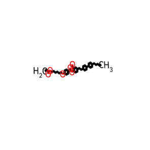 C=CC(=O)OCCCCCCOc1ccc(C(=O)Oc2ccc(CCc3ccc(-c4ccc(CCCCC)cc4)cc3)cc2C=O)cc1